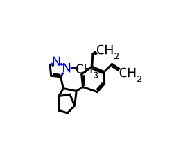 C=Cc1ccc(C2C3CCC(C3)C2c2ccnn2C)cc1C=C